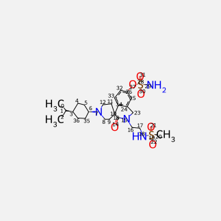 CC(C)[C@H]1CC[C@@H](N2CCC3(CC2)C(=O)N(CCNS(C)(=O)=O)Cc2cc(OS(N)(=O)=O)ccc23)CC1